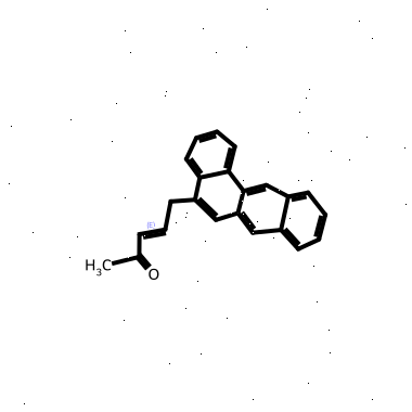 CC(=O)/C=C/Cc1cc2cc3ccccc3cc2c2ccccc12